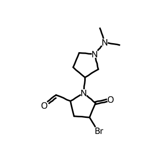 CN(C)N1CCC(N2C(=O)C(Br)CC2C=O)C1